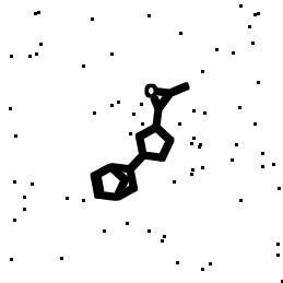 CC1OC1C1CCC(C2CC3C=CC2C3)C1